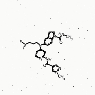 CNC(=O)n1ccc2cc(N(CCCC(F)F)c3ccnc(NC(=O)c4cnn(C)c4)c3)ccc21